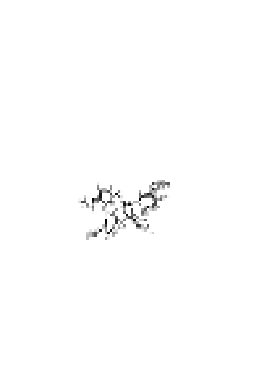 Nc1ccc(Oc2cc(Cc3ccc(O)cc3)c(N)c(Cc3ccc(O)cc3)c2)cc1